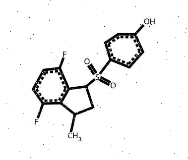 CC1CC(S(=O)(=O)c2ccc(O)cc2)c2c(F)ccc(F)c21